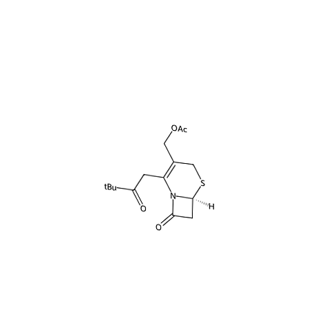 CC(=O)OCC1=C(CC(=O)C(C)(C)C)N2C(=O)C[C@@H]2SC1